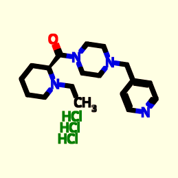 CCN1CCCC[C@H]1C(=O)N1CCN(Cc2ccncc2)CC1.Cl.Cl.Cl